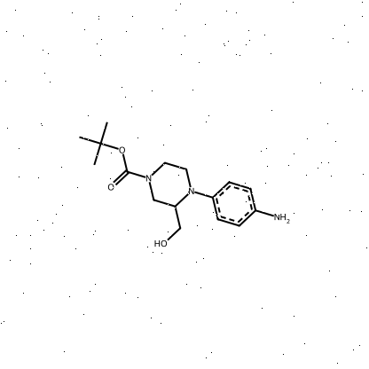 CC(C)(C)OC(=O)N1CCN(c2ccc(N)cc2)C(CO)C1